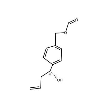 C=CC[C@@H](O)c1ccc(COC=O)cc1